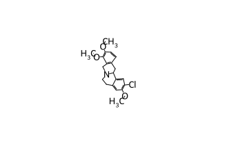 COc1cc2c(cc1Cl)C1Cc3ccc(OC)c(OC)c3CN1CC2